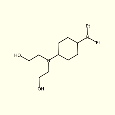 CCN(CC)C1CCC(N(CCO)CCO)CC1